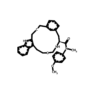 COc1ccc(N(C)C(=O)[C@@H]2Cc3cccc(c3)CCCc3[nH]c4ccccc4c3CCOCN2)cc1